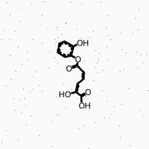 O=C(/C=C\C=C(\O)C(=O)O)Oc1ccccc1O